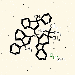 CC1(c2ccccc2)C=[C]([Zr+]([C]2=CC(C)(C(C)(C)C)C=C3C2=Cc2ccccc23)[C]2=CC(C)(c3ccccc3)c3ccccc32)c2ccccc21.[Cl-].[Cl-].[Zr+4]